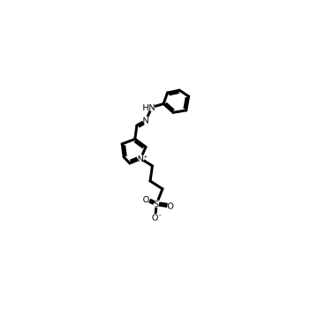 O=S(=O)([O-])CCC[n+]1cccc(C=NNc2ccccc2)c1